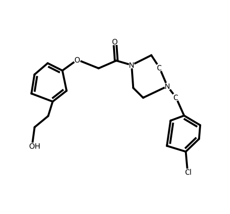 O=C(COc1cccc(CCO)c1)N1CCN(Cc2ccc(Cl)cc2)CC1